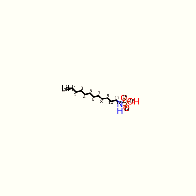 CCCCCCCCCCCCNS(=O)(=O)O.[LiH]